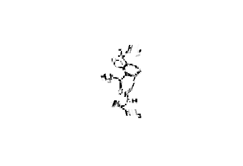 CCc1c(C(N)=O)ccc(C=NNC(=N)N)c1C(N)=O